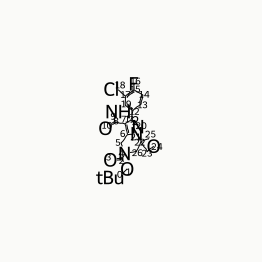 CC(C)(C)OC(=O)N1Cc2c(C(N)=O)c(-c3ccc(F)c(Cl)c3)nn2C2(COC2)C1